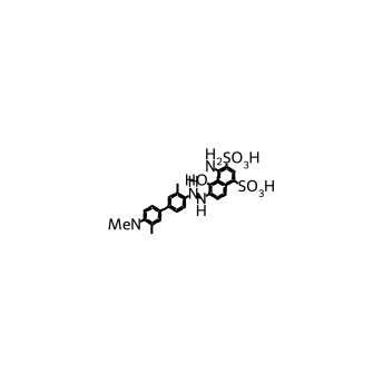 CNc1ccc(-c2ccc(NNc3ccc4c(S(=O)(=O)O)cc(S(=O)(=O)O)c(N)c4c3O)c(C)c2)cc1C